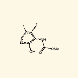 COC(=O)Nc1c(O)ccc(I)c1F